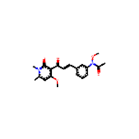 COc1cc(C)n(C)c(=O)c1C(=O)/C=C/c1cccc(N(OC)C(C)=O)c1